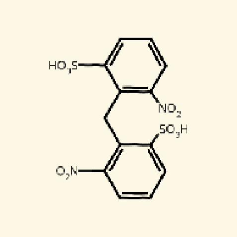 O=[N+]([O-])c1cccc(S(=O)(=O)O)c1Cc1c([N+](=O)[O-])cccc1S(=O)(=O)O